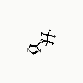 FC(F)(F)C(F)(F)SC1=C[N]C=N1